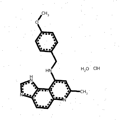 COc1ccc(CNc2cc(C)nc3ccc4nc[nH]c4c23)cc1.Cl.O